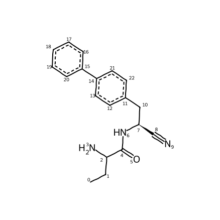 CCC(N)C(=O)N[C@H](C#N)Cc1ccc(-c2ccccc2)cc1